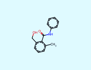 Cc1cccc(CO)c1C(=O)Nc1ccccc1